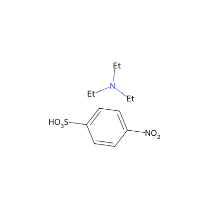 CCN(CC)CC.O=[N+]([O-])c1ccc(S(=O)(=O)O)cc1